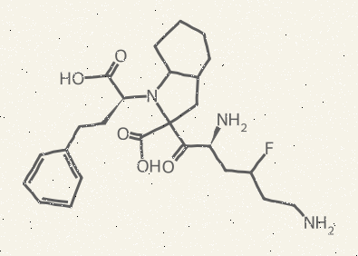 NCCC(F)C[C@H](N)C(=O)C1(C(=O)O)CC2CCCCC2N1[C@@H](CCc1ccccc1)C(=O)O